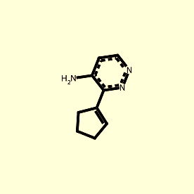 Nc1ccnnc1C1=CCCC1